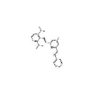 Cc1cc(C=Nc2ccccc2)nc(C=Nc2c(C(C)C)cccc2C(C)C)c1